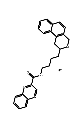 Cl.O=C(NCCCCC1Cc2c(ccc3ccccc23)CN1)c1cnc2ccccc2n1